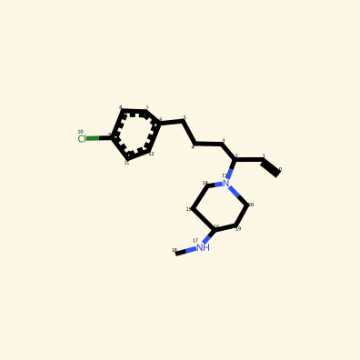 C=CC(CCCc1ccc(Cl)cc1)N1CCC(NC)CC1